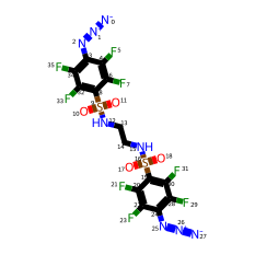 [N-]=[N+]=Nc1c(F)c(F)c(S(=O)(=O)NCCNS(=O)(=O)c2c(F)c(F)c(N=[N+]=[N-])c(F)c2F)c(F)c1F